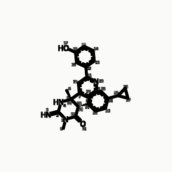 CN1C(=N)N[C@](C)(c2ccnc(-c3cccc(O)c3)c2)[C@H](c2ccc(C3CC3)cc2)C1=O